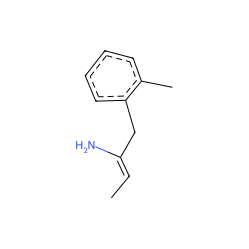 CC=C(N)Cc1ccccc1C